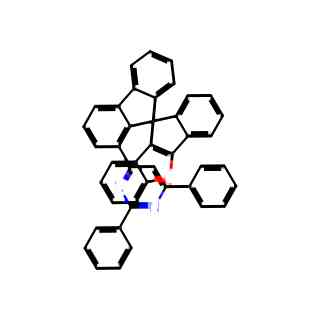 c1ccc(-c2cc(-c3cccc4c3C3(c5ccccc5-4)c4ccccc4-c4oc5ccccc5c43)nc(-c3ccccc3)n2)cc1